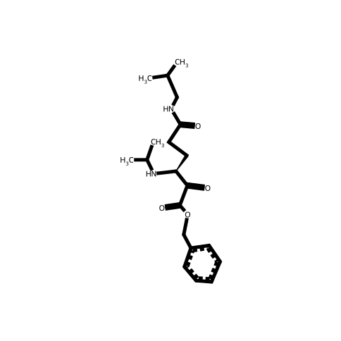 CC(C)CNC(=O)CC[C@H](NC(C)C)C(=O)C(=O)OCc1ccccc1